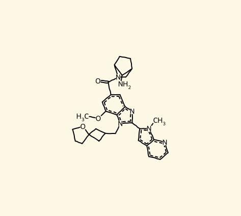 COc1cc(C(=O)N2CC3CCC2C3N)cc2nc(-c3cc4cccnc4n3C)n(CC3CC4(CCCO4)C3)c12